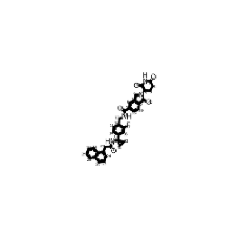 O=C1CCC(N2Cc3cc(C(=O)NCc4ccc(C5(NC(=O)Cc6cccc7ccccc67)CC5)cc4F)ccc3C2=O)C(=O)N1